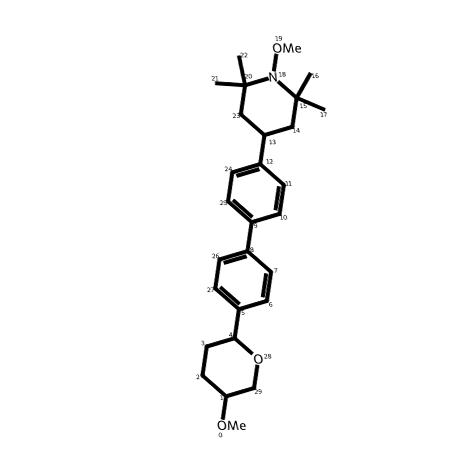 COC1CCC(c2ccc(-c3ccc(C4CC(C)(C)N(OC)C(C)(C)C4)cc3)cc2)OC1